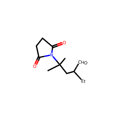 CCC(C=O)CC(C)(C)N1C(=O)CCC1=O